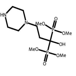 COP(=O)(OC)C(O)(CCN1CCNCC1)P(=O)(OC)OC